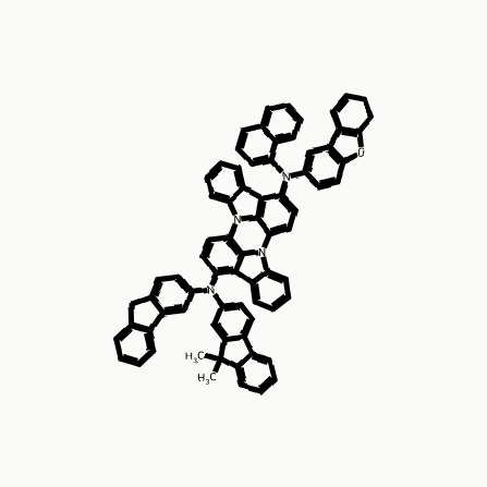 CC1(C)c2ccccc2-c2ccc(N(c3ccc4c(c3)-c3ccccc3C4)c3ccc4c5c3c3ccccc3n5c3ccc(N(c5ccc6oc7c(c6c5)C=CCC7)c5cccc6ccccc56)c5c6ccccc6n4c53)cc21